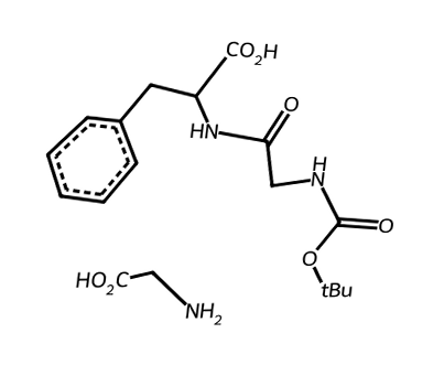 CC(C)(C)OC(=O)NCC(=O)NC(Cc1ccccc1)C(=O)O.NCC(=O)O